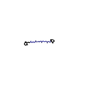 CC1=CCCC(C)(C)C1C=C/C(C)=C/C=C/C(C)=C/C=C/C=C(C)/C=C/C=C(C)/C=C/C1=C(C)C[C@@H](O)CC1(C)C